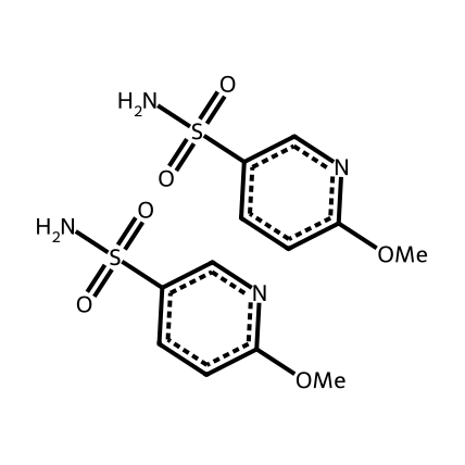 COc1ccc(S(N)(=O)=O)cn1.COc1ccc(S(N)(=O)=O)cn1